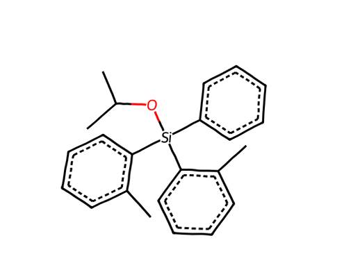 Cc1ccccc1[Si](OC(C)C)(c1ccccc1)c1ccccc1C